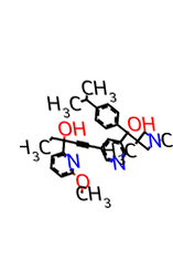 CCC(O)(C#Cc1cncc(C(O)(c2ccc(C(C)C)cc2)C2(C)CN(C)C2)c1)c1cccc(OC)n1